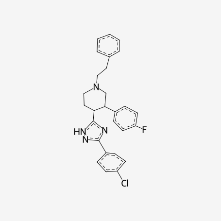 Fc1ccc(C2CN(CCc3ccccc3)CCC2c2nc(-c3ccc(Cl)cc3)n[nH]2)cc1